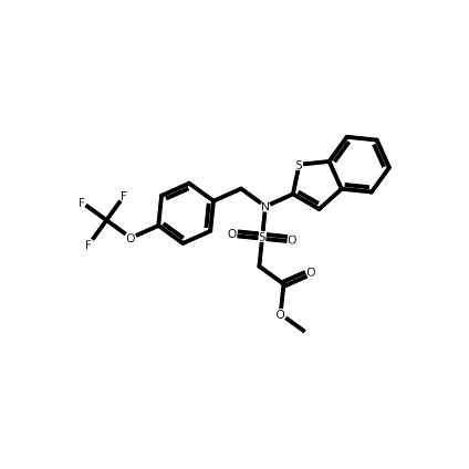 COC(=O)CS(=O)(=O)N(Cc1ccc(OC(F)(F)F)cc1)c1cc2ccccc2s1